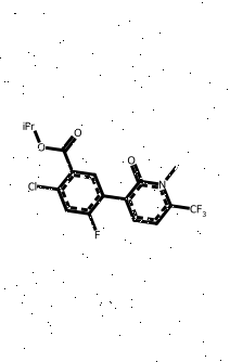 CC(C)OC(=O)c1cc(-c2ccc(C(F)(F)F)n(C)c2=O)c(F)cc1Cl